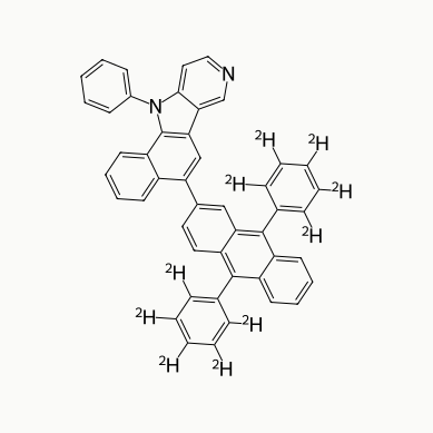 [2H]c1c([2H])c([2H])c(-c2c3ccccc3c(-c3c([2H])c([2H])c([2H])c([2H])c3[2H])c3cc(-c4cc5c6cnccc6n(-c6ccccc6)c5c5ccccc45)ccc23)c([2H])c1[2H]